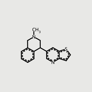 CN1Cc2ccccc2C(c2cnc3ccsc3c2)C1